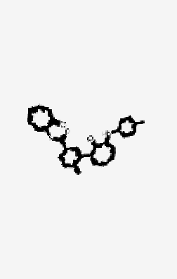 Cc1ccc(Nc2ccccc(-c3cc(C(=O)Sc4cccccc4=O)ccc3C)c2=O)cc1